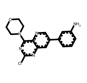 Nc1cccc(-c2cnc3c(N4CCOCC4)nc(Cl)nc3c2)c1